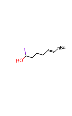 CCCCC=CCCCC(O)I